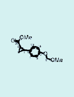 COCOc1ccc(C2CC2C(=O)OC)cc1